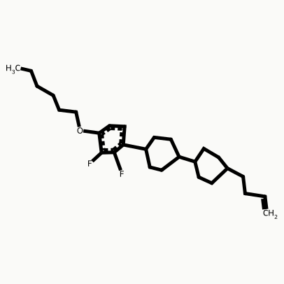 C=CCCC1CCC(C2CCC(c3ccc(OCCCCCC)c(F)c3F)CC2)CC1